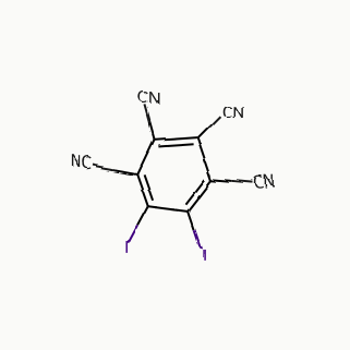 N#Cc1c(I)c(I)c(C#N)c(C#N)c1C#N